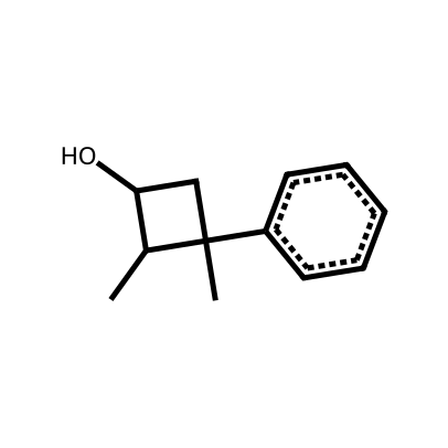 CC1C(O)CC1(C)c1ccccc1